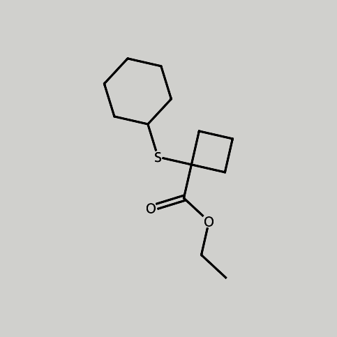 CCOC(=O)C1(SC2CCCCC2)CCC1